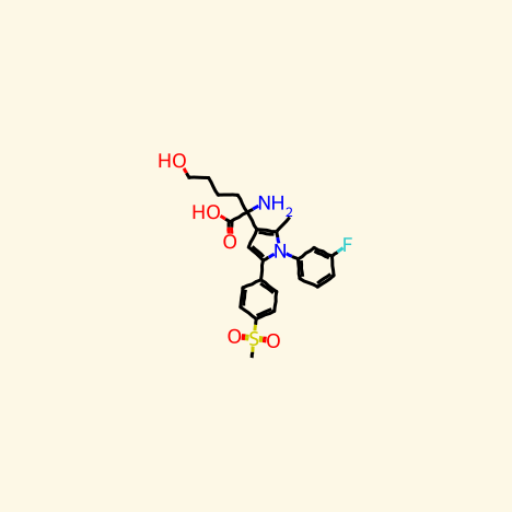 Cc1c(C(N)(CCCCO)C(=O)O)cc(-c2ccc(S(C)(=O)=O)cc2)n1-c1cccc(F)c1